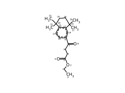 CCOC(=O)CCC(=O)c1ccc2c(c1)C(C)(C)CCC2(C)C